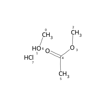 CO.COC(C)=O.Cl